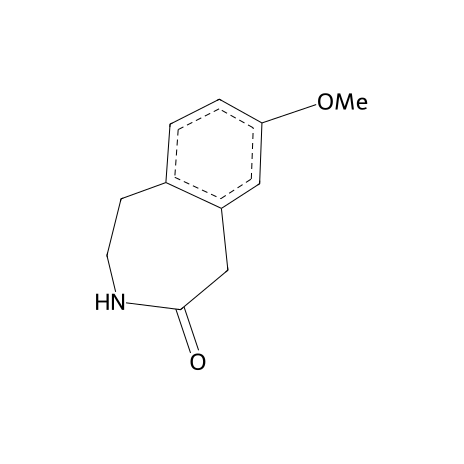 COc1ccc2c(c1)CC(=O)NCC2